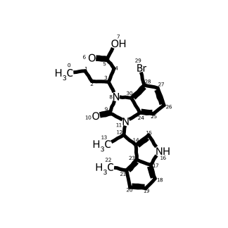 CCCC(CC(=O)O)n1c(=O)n(C(C)c2c[nH]c3cccc(C)c23)c2cccc(Br)c21